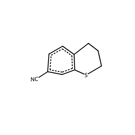 N#Cc1ccc2c(c1)SCCC2